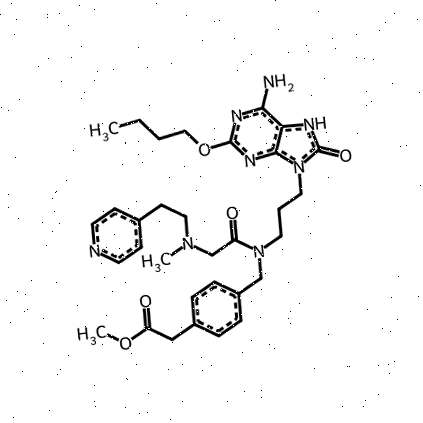 CCCCOc1nc(N)c2[nH]c(=O)n(CCCN(Cc3ccc(CC(=O)OC)cc3)C(=O)CN(C)CCc3ccncc3)c2n1